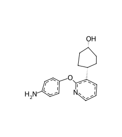 Nc1ccc(Oc2ncccc2[C@H]2CC[C@@H](O)CC2)cc1